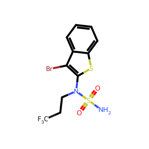 NS(=O)(=O)N(CCC(F)(F)F)c1sc2ccccc2c1Br